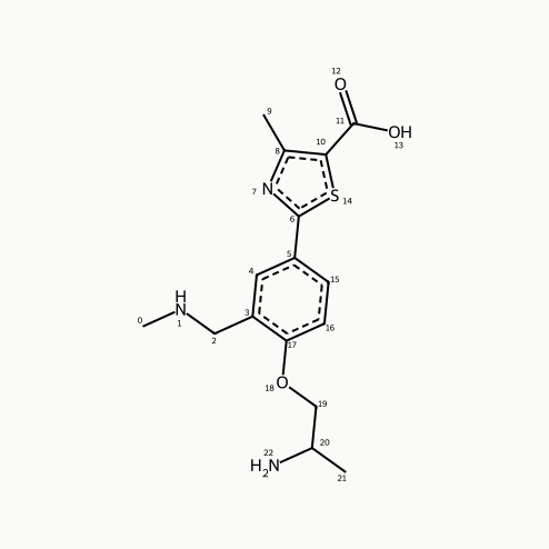 CNCc1cc(-c2nc(C)c(C(=O)O)s2)ccc1OCC(C)N